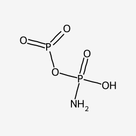 NP(=O)(O)OP(=O)=O